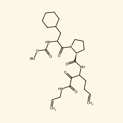 C=CCCC(NC(=O)[C@@H]1CCCN1C(=O)C(CC1CCCCC1)NC(=O)OC(C)(C)C)C(=O)C(=O)NCC=C